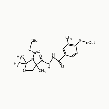 CCCCCCCCSc1ccc(C(=O)NNC(=O)C2(C)COC(C)(C)N2C(=O)OC(C)(C)C)cc1C(F)(F)F